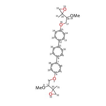 COC(COc1ccc(-c2ccc(-c3ccc(OCC(OC)C4(C)CO4)cc3)cc2)cc1)C1(C)CO1